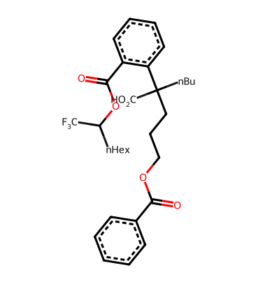 CCCCCCC(OC(=O)c1ccccc1C(CCCC)(CCCOC(=O)c1ccccc1)C(=O)O)C(F)(F)F